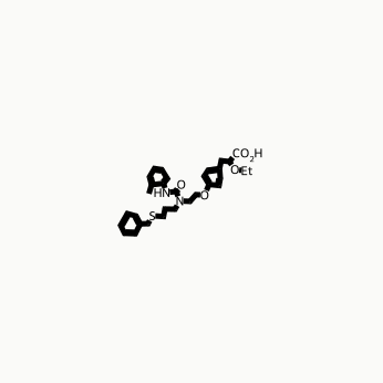 CCOC(Cc1ccc(OCCN(CCCSCc2ccccc2)C(=O)Nc2ccccc2C)cc1)C(=O)O